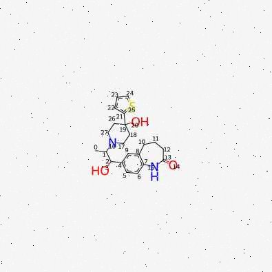 CC(C(O)c1ccc2c(c1)CCCC(=O)N2)N1CCC(O)(c2cccs2)CC1